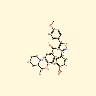 COc1ccc(-c2onc(-c3ccc(O)cc3)c2C(=O)c2ccc(OC(C)C3CCCCN3)cc2)cc1